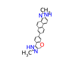 Cc1nc2c([nH]1)-c1ccc(-c3ccc4c(ccc5c4ccc4[nH]c(C)nc45)c3)cc1OC2